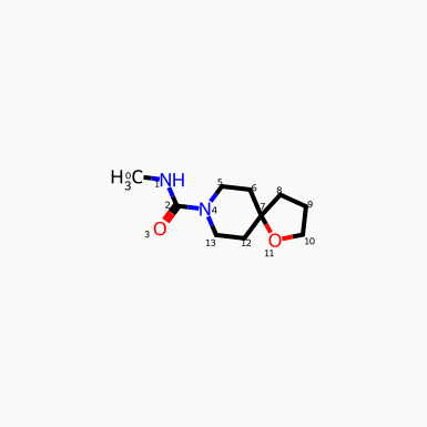 CNC(=O)N1CCC2(CCCO2)CC1